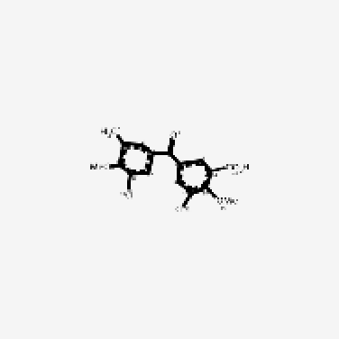 COc1c(C)cc(C(=O)c2cc(Cl)c(OC)c(C(=O)O)c2)cc1Cl